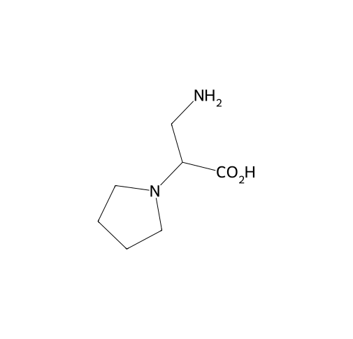 NCC(C(=O)O)N1CCCC1